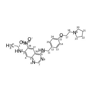 CCNc1cc2ncnc(NCc3ccc(OCCN4CCCC4)cc3)c2cc1[N+](=O)[O-]